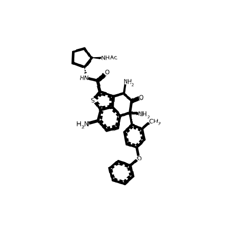 CC(=O)N[C@@H]1CCC[C@H]1NC(=O)c1sc2c(N)ccc3c2c1C(N)C(=O)C3(N)c1ccc(Oc2ccccc2)cc1C